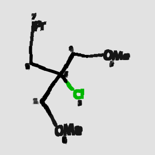 COCC(Cl)(COC)CC(C)C